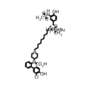 CC(C)(C)[Si](C)(C)O[C@H](CNCCCCCCCCCN1CCC(N(C(=O)O)c2ccccc2-c2ccc(O)c(Cl)c2)CC1)c1ccc(O)c(NS(C)(=O)=O)c1